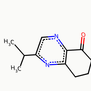 CC(C)c1cnc2c(n1)CCCC2=O